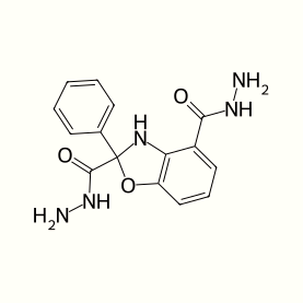 NNC(=O)c1cccc2c1NC(C(=O)NN)(c1ccccc1)O2